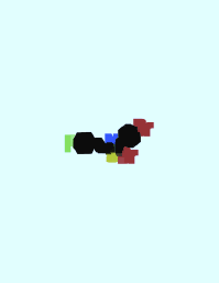 Fc1ccc(/C=C/c2nc(-c3ccc(Br)cc3)c(Br)s2)cc1